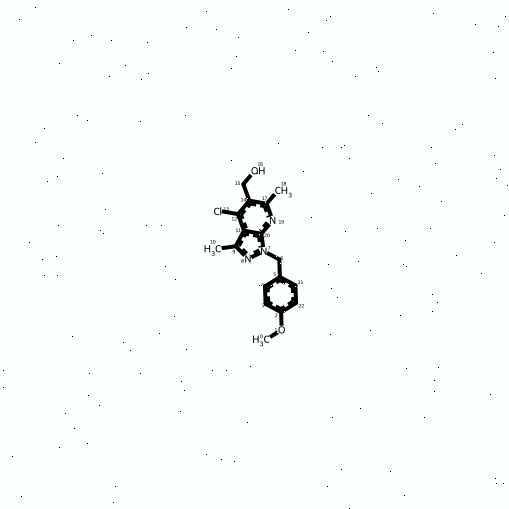 COc1ccc(Cn2nc(C)c3c(Cl)c(CO)c(C)nc32)cc1